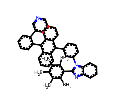 Bc1c(B)c(B)c(-c2nc3ccccc3n2-c2cccc(-c3c4ccccc4c(-c4ccccc4-c4cccnc4)c4ccccc34)c2)c(B)c1B